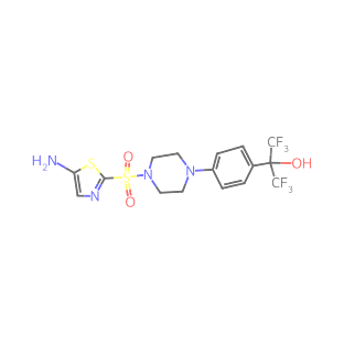 Nc1cnc(S(=O)(=O)N2CCN(c3ccc(C(O)(C(F)(F)F)C(F)(F)F)cc3)CC2)s1